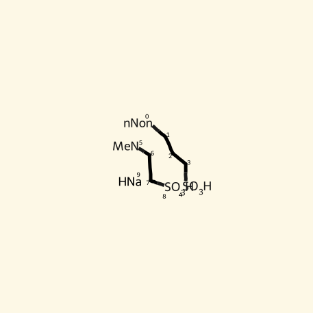 CCCCCCCCCCCCS(=O)(=O)O.CNCCS(=O)(=O)O.[NaH]